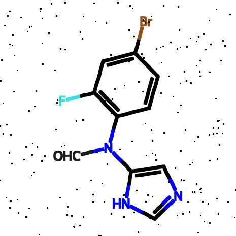 O=CN(c1cnc[nH]1)c1ccc(Br)cc1F